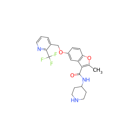 Cc1oc2ccc(OCc3cccnc3C(F)(F)F)cc2c1C(=O)NC1CCNCC1